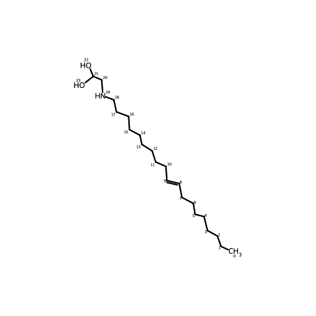 CCCCCCCCC=CCCCCCCCCCNCC(O)O